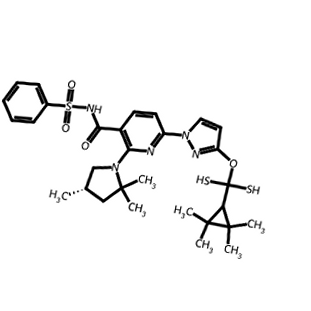 C[C@@H]1CN(c2nc(-n3ccc(OC(S)(S)C4C(C)(C)C4(C)C)n3)ccc2C(=O)NS(=O)(=O)c2ccccc2)C(C)(C)C1